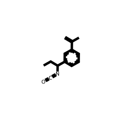 C=C(C)c1cccc(C(CC)N=C=O)c1